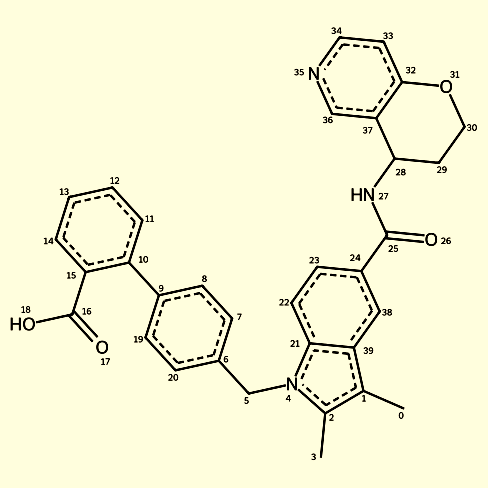 Cc1c(C)n(Cc2ccc(-c3ccccc3C(=O)O)cc2)c2ccc(C(=O)NC3CCOc4ccncc43)cc12